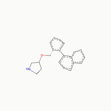 c1ccc(-c2cccc3ccccc23)c(COC2CCNC2)c1